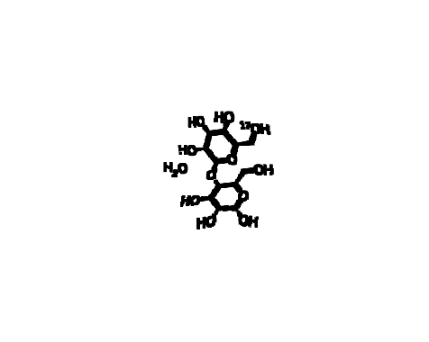 O.OC[C@H]1O[C@H](O)[C@H](O)[C@@H](O)[C@@H]1O[C@@H]1O[C@H](C[17OH])[C@H](O)[C@H](O)[C@H]1O